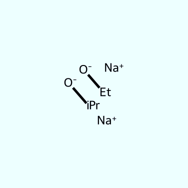 CC(C)[O-].CC[O-].[Na+].[Na+]